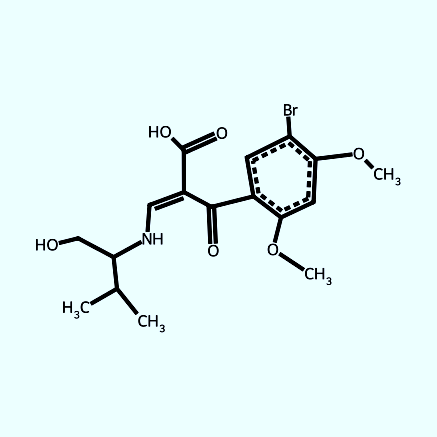 COc1cc(OC)c(C(=O)/C(=C\NC(CO)C(C)C)C(=O)O)cc1Br